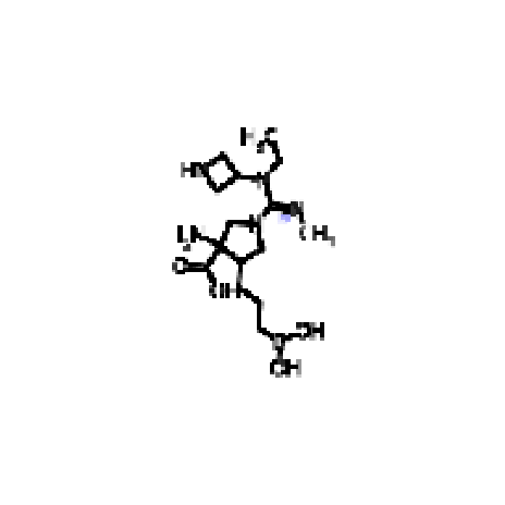 CCN(/C(=N/C)N1CC(CCCB(O)O)C(N)(C(=O)O)C1)C1CNC1